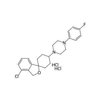 Cl.Cl.Fc1ccc(N2CCN(C3CCC4(CC3)OCc3c(Cl)cccc34)CC2)cc1